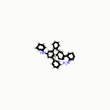 CC1CC=C(c2ccccc2N)C=C1c1ccccc1C1=CC(Nc2ccccc2)CC(c2ccccc2)=C1